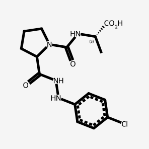 C[C@H](NC(=O)N1CCCC1C(=O)NNc1ccc(Cl)cc1)C(=O)O